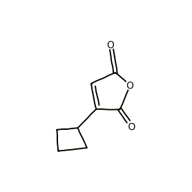 O=C1C=C(C2CCC2)C(=O)O1